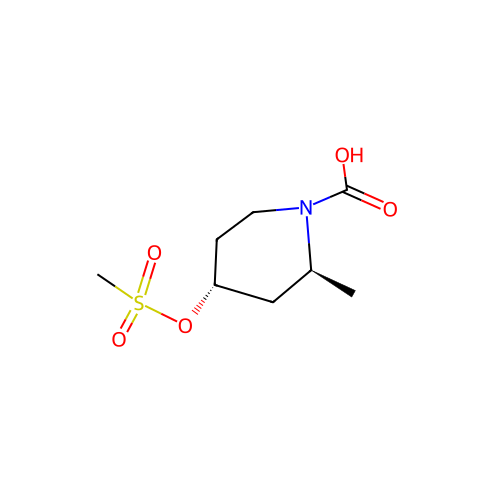 C[C@H]1C[C@H](OS(C)(=O)=O)CCN1C(=O)O